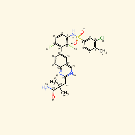 Cc1ccc(S(=O)(=O)Nc2ccc(F)c(-c3ccc4nc(CC(C)(C)C(N)=O)ncc4c3)c2F)cc1Cl